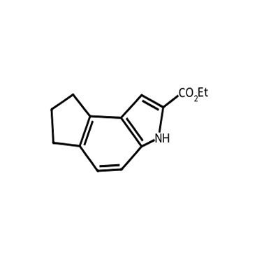 CCOC(=O)c1cc2c3c(ccc2[nH]1)CCC3